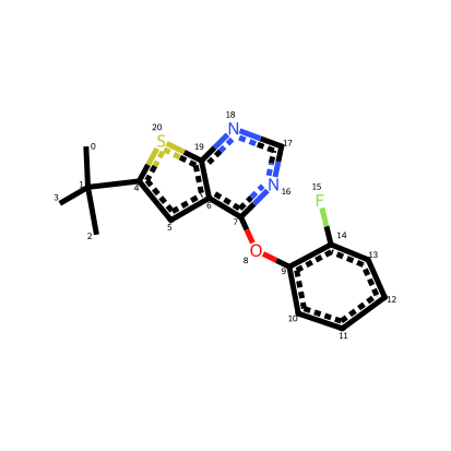 CC(C)(C)c1cc2c(Oc3ccccc3F)ncnc2s1